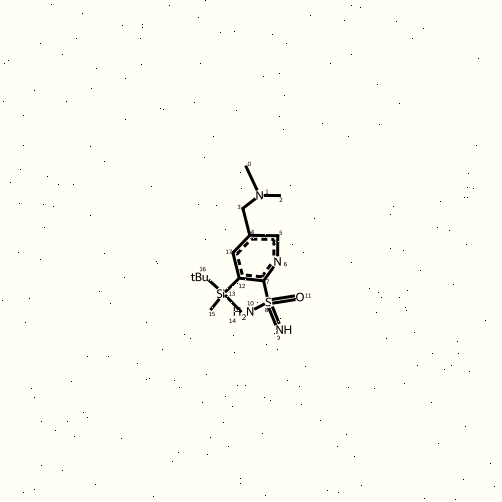 CN(C)Cc1cnc(S(=N)(N)=O)c([Si](C)(C)C(C)(C)C)c1